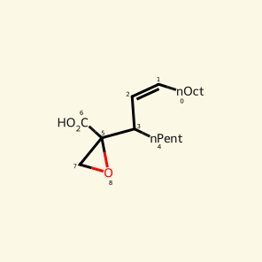 CCCCCCCC/C=C\C(CCCCC)C1(C(=O)O)CO1